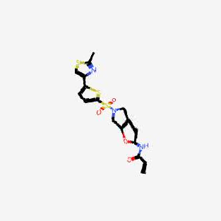 C=CC(=O)NC1CC2CN(S(=O)(=O)c3ccc(-c4csc(C)n4)s3)CC2O1